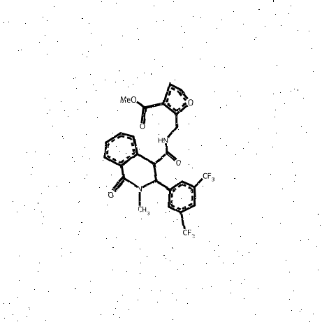 COC(=O)c1ccoc1CNC(=O)C1c2ccccc2C(=O)N(C)C1c1cc(C(F)(F)F)cc(C(F)(F)F)c1